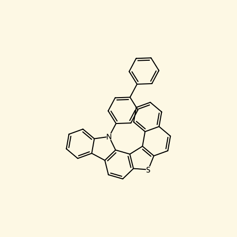 c1ccc(-c2ccc(-n3c4ccccc4c4ccc5sc6ccc7ccccc7c6c5c43)cc2)cc1